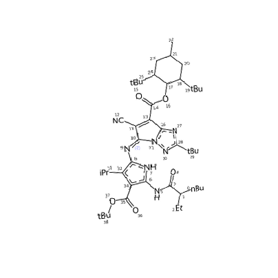 CCCCC(CC)C(=O)Nc1[nH]c(/N=C2/C(C#N)=C(C(=O)OC3C(C(C)(C)C)CC(C)CC3C(C)(C)C)c3nc(C(C)(C)C)nn32)c(C(C)C)c1C(=O)OC(C)(C)C